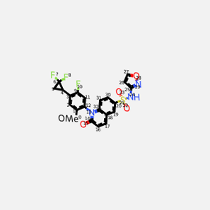 COc1cc(C2CC2(F)F)c(F)cc1-n1c(=O)ccc2cc(S(=O)(=O)Nc3ccon3)ccc21